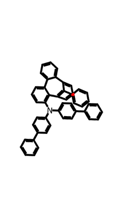 c1ccc(-c2ccc(N(c3ccc(-c4ccccc4)cc3)c3cccc4c3-c3cccc(c3-c3ccccc3)-c3ccccc3-4)cc2)cc1